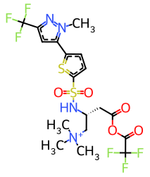 Cn1nc(C(F)(F)F)cc1-c1ccc(S(=O)(=O)N[C@H](CC(=O)OC(=O)C(F)(F)F)C[N+](C)(C)C)s1